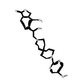 COc1cnc(N2CCC3(CCN(CC(O)c4ccc5c(c4C)COC5=O)CC3)CC2)nc1